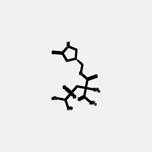 CCCC(CCC)S(=O)(=O)CC(N)(C(N)=O)C(=O)OC[C@H]1CNC(=O)C1